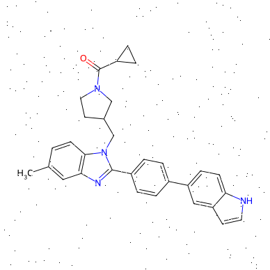 Cc1ccc2c(c1)nc(-c1ccc(-c3ccc4[nH]ccc4c3)cc1)n2CC1CCN(C(=O)C2CC2)C1